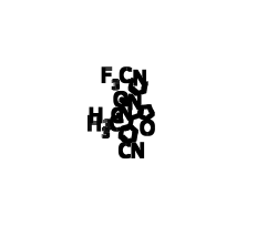 Cc1cc(C#N)ccc1C1C2=C(CCC2=O)N(c2ccnc(C(F)(F)F)c2)C(=O)N1C